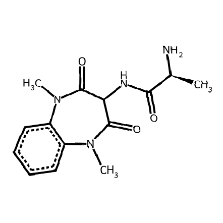 C[C@H](N)C(=O)NC1C(=O)N(C)c2ccccc2N(C)C1=O